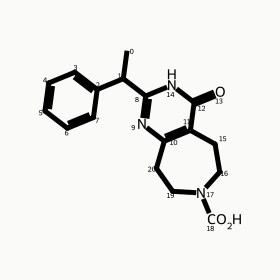 CC(c1ccccc1)c1nc2c(c(=O)[nH]1)CCN(C(=O)O)CC2